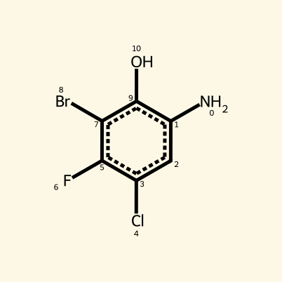 Nc1cc(Cl)c(F)c(Br)c1O